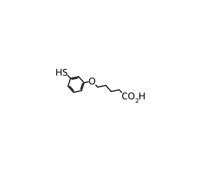 O=C(O)CCCCOc1cccc(S)c1